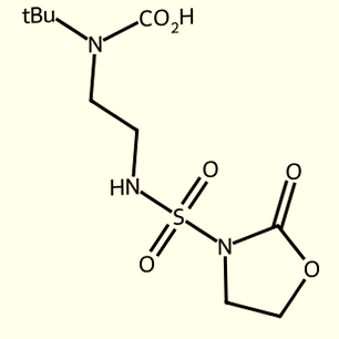 CC(C)(C)N(CCNS(=O)(=O)N1CCOC1=O)C(=O)O